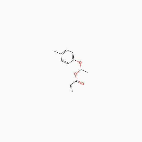 C=CC(=O)OC(C)Oc1ccc(C)cc1